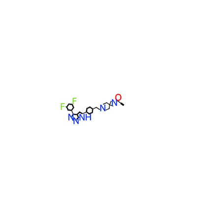 C#CC(=O)N1CC2(CCN(CCc3ccc(-c4cc5c(-c6cc(F)cc(F)c6)ncnc5[nH]4)cc3)CC2)C1